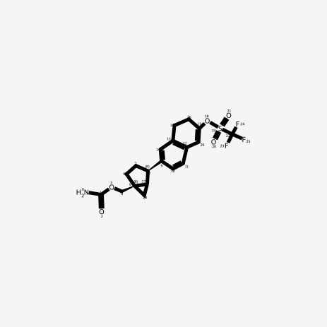 NC(=O)OC[C@@]12CC[C@@H](c3ccc4c(c3)CCC(OS(=O)(=O)C(F)(F)F)=C4)C1C2